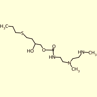 CCCSCCC(O)COC(=O)NCCN(C)CCNC